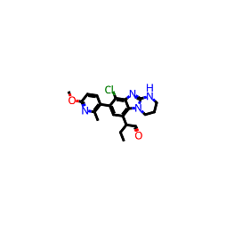 CCC(C=O)c1cc(-c2ccc(OC)nc2C)c(Cl)c2nc3n(c12)CCCN3